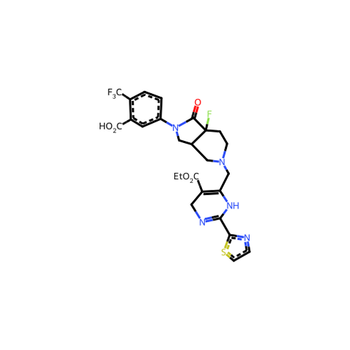 CCOC(=O)C1=C(CN2CCC3(F)C(=O)N(c4ccc(C(F)(F)F)c(C(=O)O)c4)CC3C2)NC(c2nccs2)=NC1